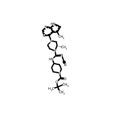 Cc1c[nH]c2ncnc(N3CCN(C(=NC#N)NC4CCN(C(=O)OC(C)(C)C)CC4)[C@@H](C)C3)c12